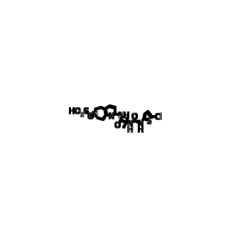 CC(C)(NC(=O)Nc1ccc(Cl)s1)C(=O)Nc1ccc2c(n1)CCN(OC(=O)O)CC2